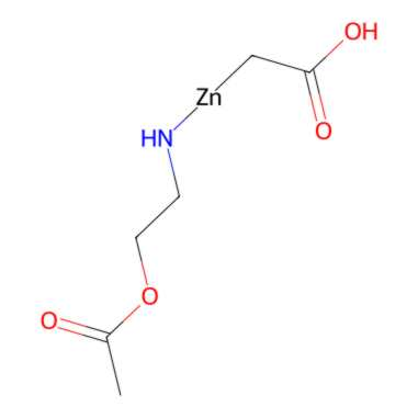 CC(=O)OCC[NH][Zn][CH2]C(=O)O